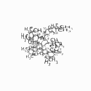 CC(C)(C)c1cc2c3c(c1)N(c1ccc4oc5cc(C(C)(C)C)ccc5c4c1)c1cc4c(cc1B3c1cc3c(cc1N2c1ccc2c(c1)C(C)(C)CCC2(C)C)C(C)(C)CCC3(C)C)C(C)(C)CC4(C)C